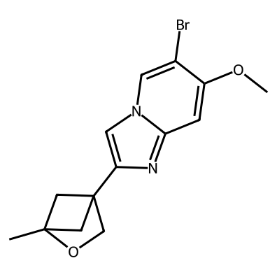 COc1cc2nc(C34COC(C)(C3)C4)cn2cc1Br